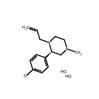 C=CCN1CCN(C)C[C@H]1c1ccc(Cl)cc1.Cl.Cl